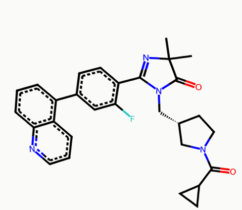 CC1(C)N=C(c2ccc(-c3cccc4ncccc34)cc2F)N(C[C@@H]2CCN(C(=O)C3CC3)C2)C1=O